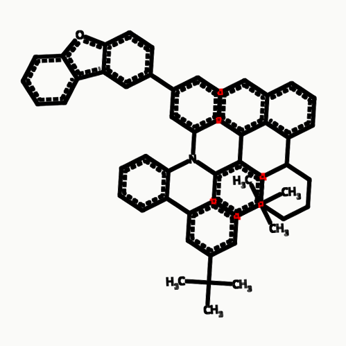 CC(C)(C)c1cc(-c2ccccc2N(c2cccc(-c3ccc4oc5ccccc5c4c3)c2)c2ccccc2-c2cccc3cccc(C4CCCCC4)c23)cc(C(C)(C)C)c1